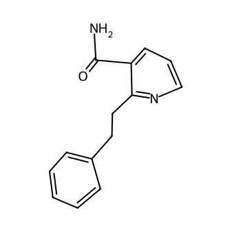 NC(=O)c1cccnc1CCc1ccccc1